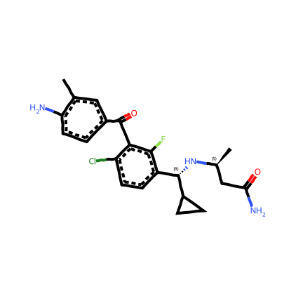 Cc1cc(C(=O)c2c(Cl)ccc([C@H](N[C@@H](C)CC(N)=O)C3CC3)c2F)ccc1N